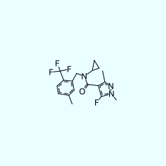 Cc1ccc(C(F)(F)F)c(CN(C(=O)c2c(C)nn(C)c2F)C2CC2)c1